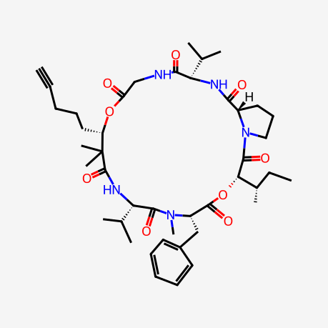 C#CCCC[C@@H]1OC(=O)CNC(=O)[C@H](C(C)C)NC(=O)[C@@H]2CCCN2C(=O)[C@H]([C@@H](C)CC)OC(=O)[C@H](Cc2ccccc2)N(C)C(=O)[C@H](C(C)C)NC(=O)C1(C)C